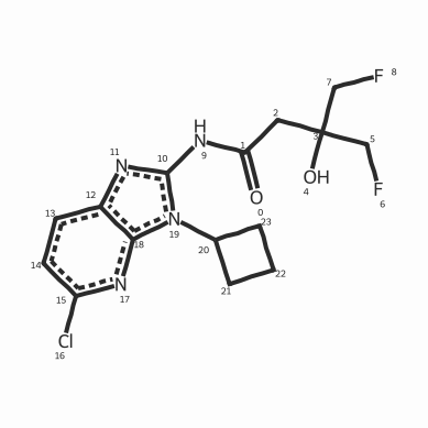 O=C(CC(O)(CF)CF)Nc1nc2ccc(Cl)nc2n1C1CCC1